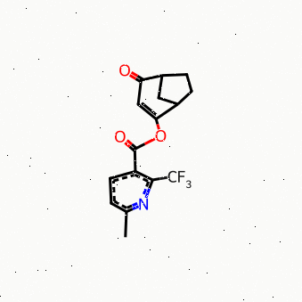 Cc1ccc(C(=O)OC2=CC(=O)C3CCC2C3)c(C(F)(F)F)n1